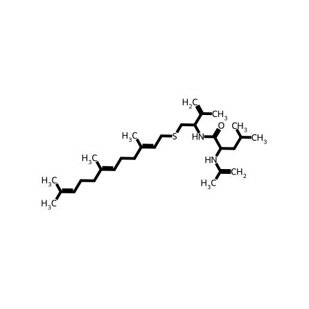 C=C(C)NC(CC(C)C)C(=O)NC(CSC/C=C(\C)CC/C=C(\C)CCC=C(C)C)C(=C)C